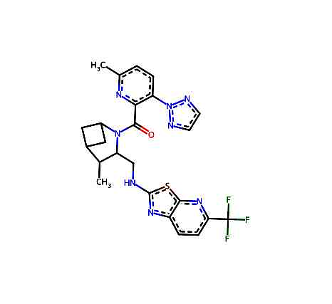 Cc1ccc(-n2nccn2)c(C(=O)N2C3CC(C3)C(C)C2CNc2nc3ccc(C(F)(F)F)nc3s2)n1